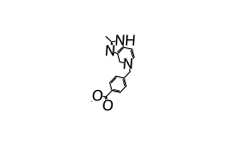 COC(=O)c1ccc(CN2C=Cc3[nH]c(C)nc3C2)cc1